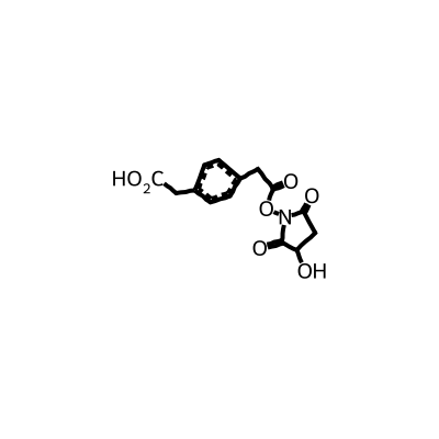 O=C(O)Cc1ccc(CC(=O)ON2C(=O)CC(O)C2=O)cc1